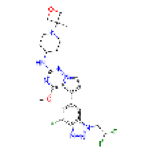 COc1nc(NC2CCN(C3(C)COC3)CC2)nn2ccc(-c3cc(F)c4nnn(CC(F)F)c4c3)c12